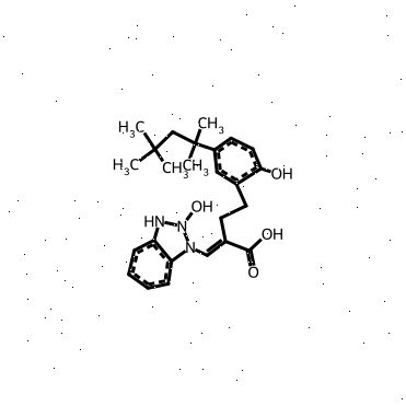 CC(C)(C)CC(C)(C)c1ccc(O)c(CCC(=CN2c3ccccc3NN2O)C(=O)O)c1